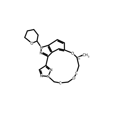 C[C@H]1CCOCCCn2ncc(n2)-c2nn(C3CCCCO3)c3ccc(cc23)O1